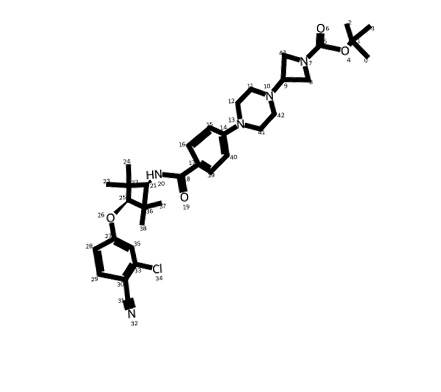 CC(C)(C)OC(=O)N1CC(N2CCN(c3ccc(C(=O)N[C@H]4C(C)(C)[C@H](Oc5ccc(C#N)c(Cl)c5)C4(C)C)cc3)CC2)C1